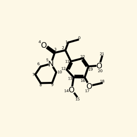 CCC(C(=O)N1CCCCC1)c1cc(OC)c(OC)c(OC)c1